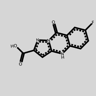 O=C(O)c1cc2[nH]c3ccc(F)cc3c(=O)n2n1